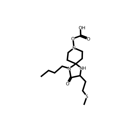 CCCCN1C(=O)C(CCSC)NC12CCN(OC(=O)O)CC2